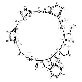 CC(C)C[C@H]1NC(=O)c2ccccc2OCc2cn(nn2)Cc2cn(nn2)CCCNC(=O)[C@H](Cc2ccccc2)N(C)C(=O)[C@H]2CCCN2C1=O